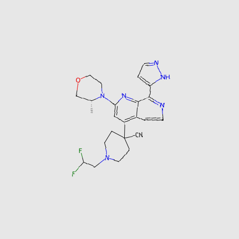 C[C@@H]1COCCN1c1cc(C2(C#N)CCN(CC(F)F)CC2)c2ccnc(-c3ccn[nH]3)c2n1